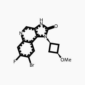 CO[C@H]1C[C@@H](n2c(=O)[nH]c3cnc4cc(F)c(Br)cc4c32)C1